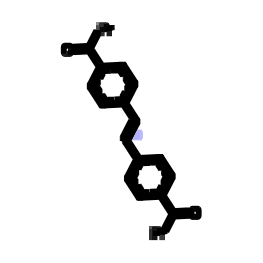 CC(C)C(=O)c1ccc(/C=C/c2ccc(C(=O)C(C)C)cc2)cc1